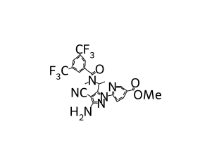 COC(=O)c1ccc(-n2nc(N)c(C#N)c2C(C)N(C)C(=O)c2cc(C(F)(F)F)cc(C(F)(F)F)c2)nc1